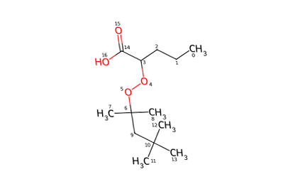 CCCC(OOC(C)(C)CC(C)(C)C)C(=O)O